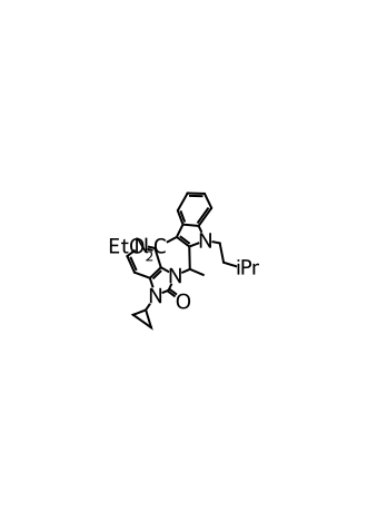 CCOC(=O)c1c(C(C)n2c(=O)n(C3CC3)c3ccncc32)n(CCC(C)C)c2ccccc12